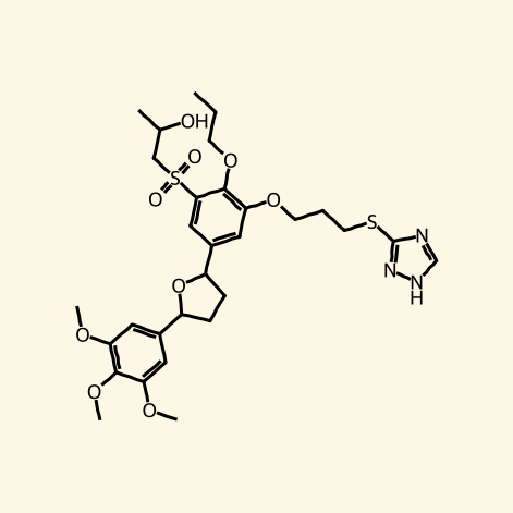 CCCOc1c(OCCCSc2nc[nH]n2)cc(C2CCC(c3cc(OC)c(OC)c(OC)c3)O2)cc1S(=O)(=O)CC(C)O